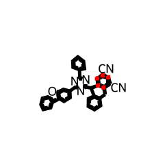 N#Cc1cc(C#N)c2c(c1)C1(c3nc(-c4ccccc4)nc(-c4ccc5c(c4)oc4ccccc45)n3)c3ccccc3C2c2ccccc21